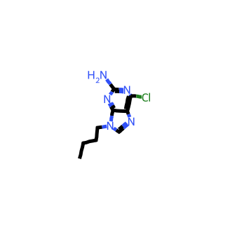 CCCCn1cnc2c(Cl)nc(N)nc21